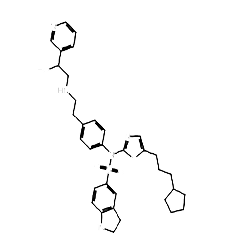 O=S(=O)(c1ccc2c(c1)CCN2)N(c1ccc(CCNCC(O)c2cccnc2)cc1)c1ncc(CCCC2CCCC2)s1